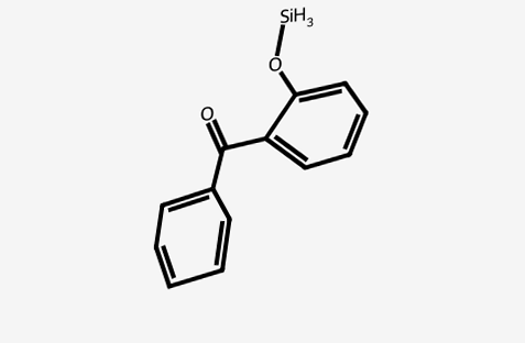 O=C(c1ccccc1)c1ccccc1O[SiH3]